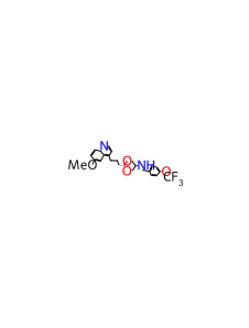 COc1ccc2nccc(CCC[C@H]3OC[C@H](NCc4ccc(OC(F)(F)F)cc4)CO3)c2c1